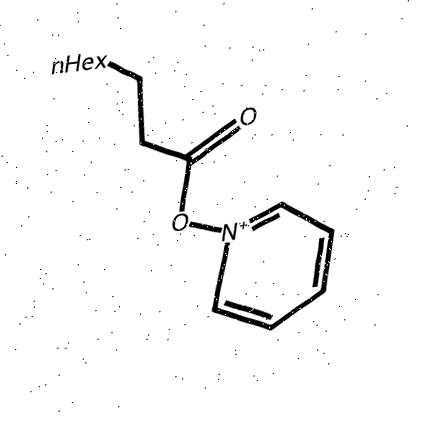 CCCCCCCCC(=O)O[n+]1ccccc1